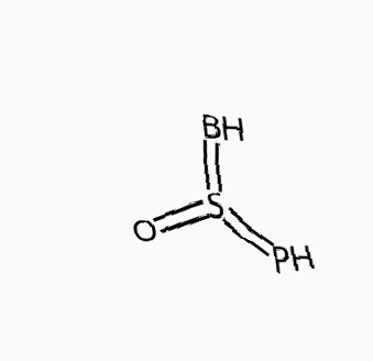 B=S(=O)=P